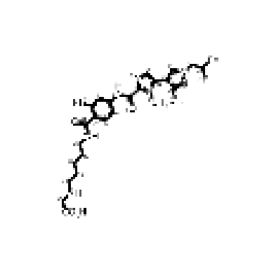 CCc1cc(NC(=O)c2ncc(-c3cn(CC(F)F)nc3C(F)(F)F)n2C)ccc1C(=O)NCCCCCNCC(=O)O